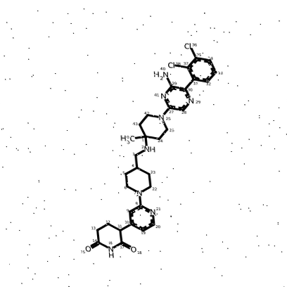 CC1(NCC2CCN(c3cc(C4CCC(=O)NC4=O)ccn3)CC2)CCN(c2cnc(-c3cccc(Cl)c3Cl)c(N)n2)CC1